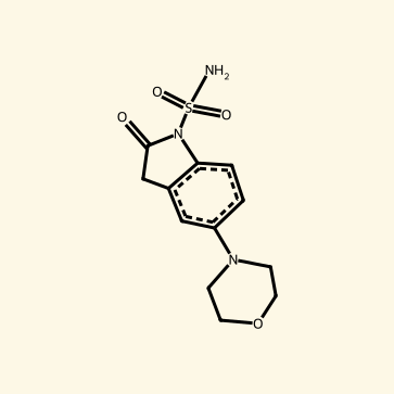 NS(=O)(=O)N1C(=O)Cc2cc(N3CCOCC3)ccc21